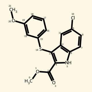 COC(=O)c1[nH]c2ccc(Cl)cc2c1Sc1cccc(OC)c1